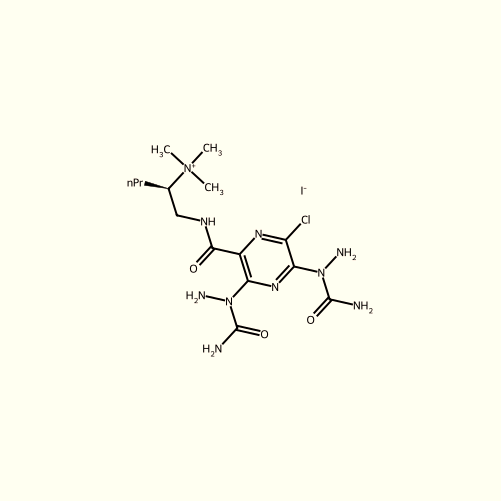 CCC[C@H](CNC(=O)c1nc(Cl)c(N(N)C(N)=O)nc1N(N)C(N)=O)[N+](C)(C)C.[I-]